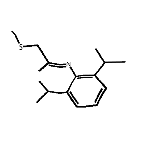 CSCC(C)=Nc1c(C(C)C)cccc1C(C)C